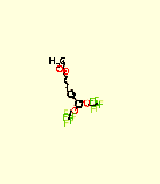 C=CC(=O)OCCCCCc1ccc(-c2cc(OCC(F)(F)C(F)(F)F)cc(OCC(F)(F)C(F)(F)F)c2)cc1